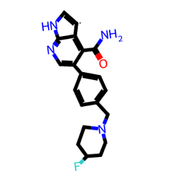 NC(=O)c1c(-c2ccc(CN3CCC(F)CC3)cc2)cnc2[nH]c[c]c12